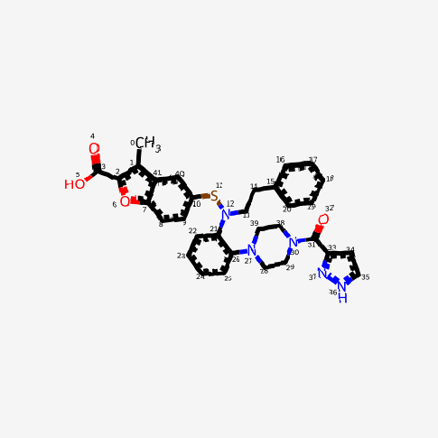 Cc1c(C(=O)O)oc2ccc(SN(CCc3ccccc3)c3ccccc3N3CCN(C(=O)c4cc[nH]n4)CC3)cc12